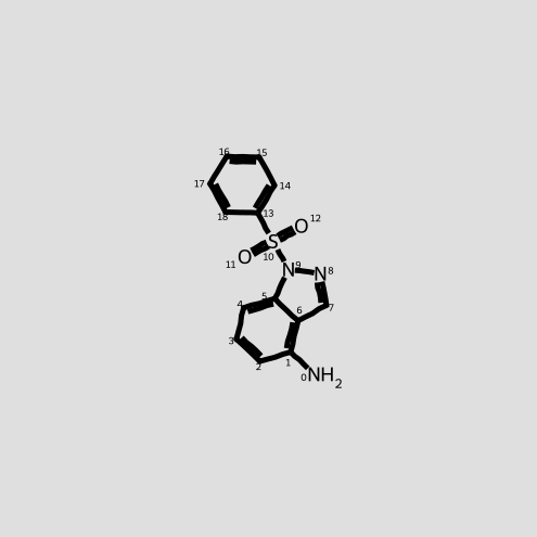 Nc1cccc2c1cnn2S(=O)(=O)c1ccccc1